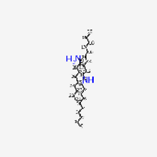 CCCCCCCCCCNCCCCCCCCCC.CCCCCCCCCN